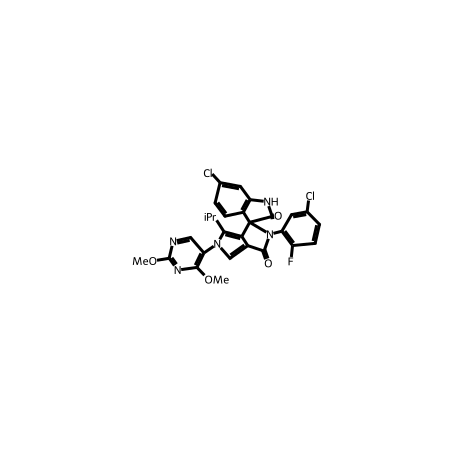 COc1ncc(-n2cc3c(c2C(C)C)C2(C(=O)Nc4cc(Cl)ccc42)N(c2cc(Cl)ccc2F)C3=O)c(OC)n1